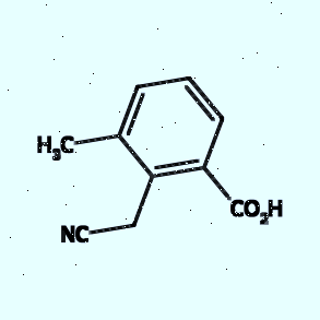 Cc1cccc(C(=O)O)c1CC#N